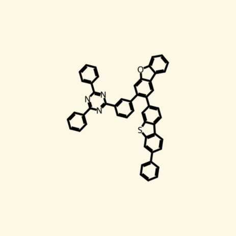 c1ccc(-c2ccc3c(c2)sc2cc(-c4cc5c(cc4-c4cccc(-c6nc(-c7ccccc7)nc(-c7ccccc7)n6)c4)oc4ccccc45)ccc23)cc1